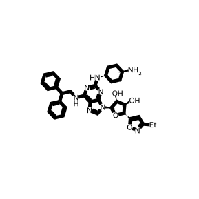 CCc1cc([C@@H]2O[C@@H](n3cnc4c(NCC(c5ccccc5)c5ccccc5)nc(N[C@H]5CC[C@H](N)CC5)nc43)[C@H](O)[C@H]2O)on1